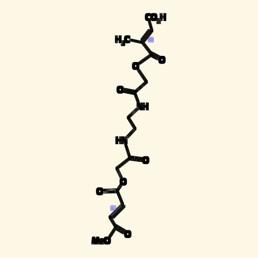 COC(=O)/C=C/C(=O)OCC(=O)NCCNC(=O)COC(=O)/C(C)=C/C(=O)O